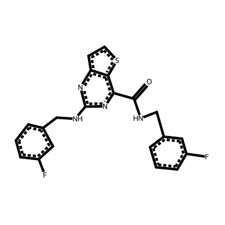 O=C(NCc1cccc(F)c1)c1nc(NCc2cccc(F)c2)nc2ccsc12